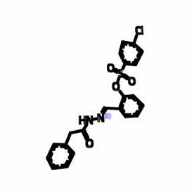 O=C(Cc1ccccc1)N/N=C/c1ccccc1OS(=O)(=O)c1ccc(Cl)cc1